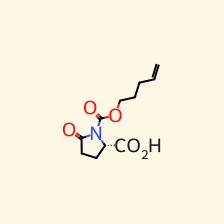 C=CCCCOC(=O)N1C(=O)CC[C@H]1C(=O)O